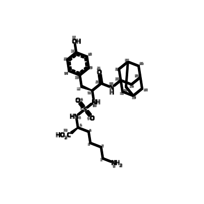 NCCCC[C@H](NS(=O)(=O)N[C@@H](Cc1ccc(O)cc1)C(=O)NC12CC3CC(CC(C3)C1)C2)C(=O)O